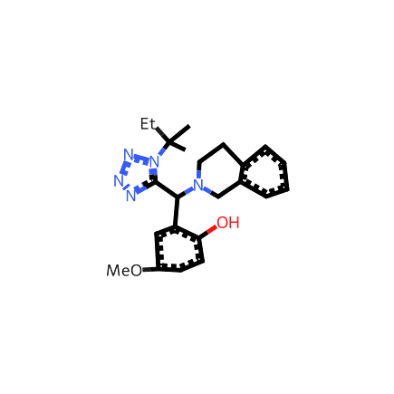 CCC(C)(C)n1nnnc1C(c1cc(OC)ccc1O)N1CCc2ccccc2C1